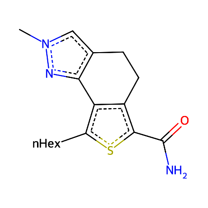 CCCCCCc1sc(C(N)=O)c2c1-c1nn(C)cc1CC2